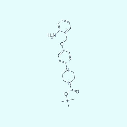 CC(C)(C)OC(=O)N1CCN(c2ccc(OCc3ccccc3N)cc2)CC1